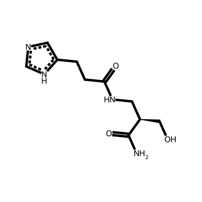 NC(=O)[C@H](CO)CNC(=O)CCc1cnc[nH]1